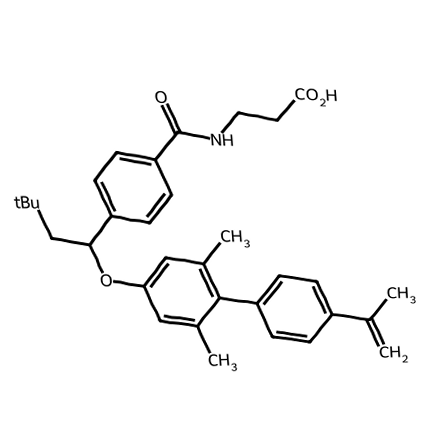 C=C(C)c1ccc(-c2c(C)cc(OC(CC(C)(C)C)c3ccc(C(=O)NCCC(=O)O)cc3)cc2C)cc1